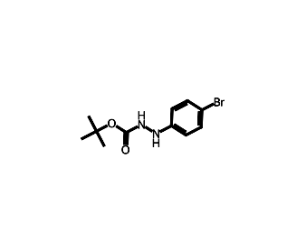 CC(C)(C)OC(=O)NNc1ccc(Br)cc1